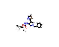 CC(C)(C)OC(=O)NC1CN(Cc2ccccc2)CC1c1nccs1